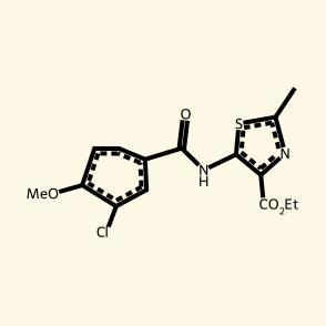 CCOC(=O)c1nc(C)sc1NC(=O)c1ccc(OC)c(Cl)c1